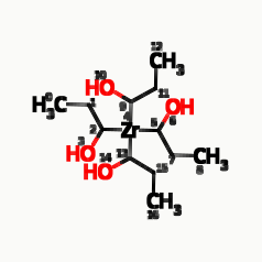 CC[CH](O)[Zr]([CH](O)CC)([CH](O)CC)[CH](O)CC